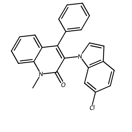 Cn1c(=O)c(-n2ccc3ccc(Cl)cc32)c(-c2ccccc2)c2ccccc21